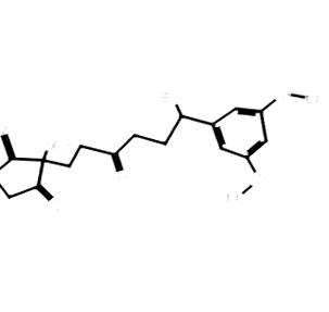 CCCCC1(CCC(=O)CCC(CC)c2cc(OCC)cc(OCC)c2)C(=O)CCC1=O